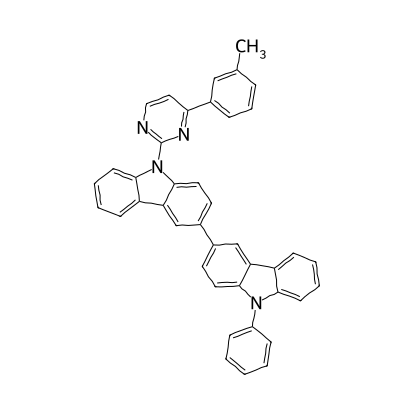 Cc1cccc(-c2ccnc(-n3c4ccccc4c4cc(-c5ccc6c(c5)c5ccccc5n6-c5ccccc5)ccc43)n2)c1